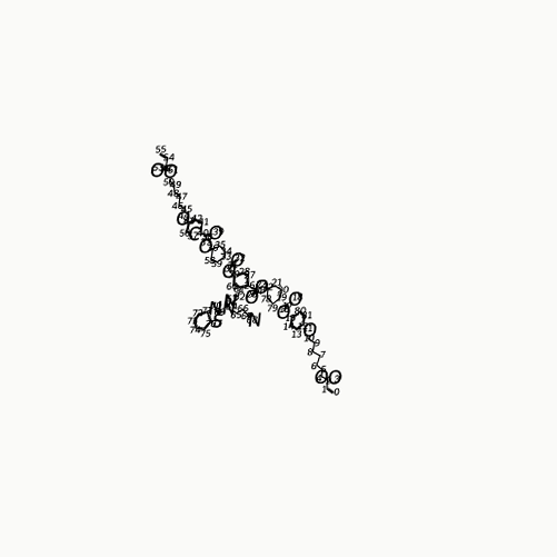 C=CC(=O)OCCCCCCOc1ccc(OC(=O)[C@H]2CC[C@H](OC(=O)c3ccc(OC(=O)[C@H]4CC[C@H](OC(=O)c5ccc(OCCCCCCOC(=O)C=C)cc5)CC4)cc3/C=N/N(CCC#N)c3nc4ccccc4s3)CC2)cc1